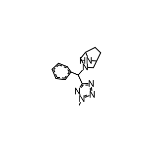 Cn1nnc(C(c2ccccc2)N2CC3CCC(C2)N3)n1